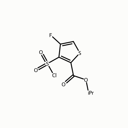 CC(C)OC(=O)c1scc(F)c1S(=O)(=O)Cl